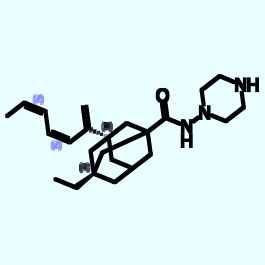 C=C(/C=C\C=C/C)[C@]12CC3CC(C(=O)NN4CCNCC4)(C[C@](CC)(C3)C1)C2